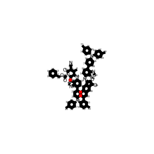 CC1=C(C#N)C(=O)N(C(=O)OCc2ccccc2)C(=O)/C1=N\c1ccc(-c2ccc(N(c3ccc(C)cc3)c3ccc(C)cc3-c3ccc4cc5/c(=N/c6ccc(-c7ccc(N(c8ccc(C)cc8)c8ccc(C)cc8)cc7)c7nsnc67)c(=O)c(=O)c5cc4c3)cc2)c2nsnc12